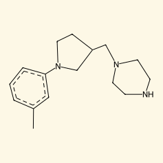 Cc1cccc(N2CCC(CN3CCNCC3)C2)c1